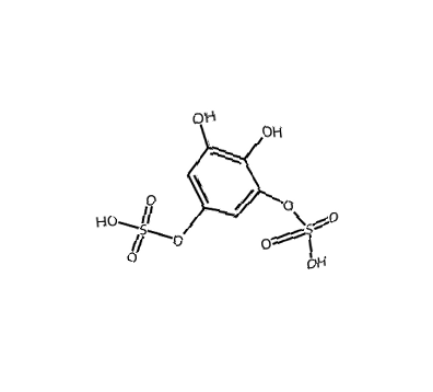 O=S(=O)(O)Oc1cc(O)c(O)c(OS(=O)(=O)O)c1